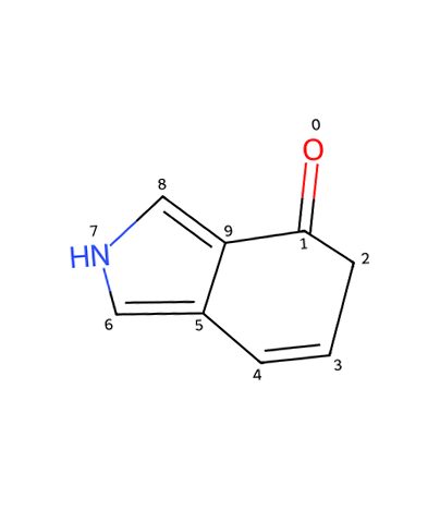 O=C1CC=Cc2c[nH]cc21